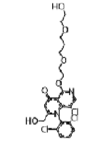 O=c1cc(CO)n(-c2c(Cl)cccc2Cl)c2c(Cl)cnc(OCCOCCCOCCO)c12